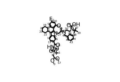 COC(CN(C)S(=O)(=O)NC(=O)c1ccc2c(C3CCCCC3)c3n(c2c1)C[C@@H](N(CCN(C(=O)O)C(C)(C)C)Cc1ccccc1)COc1cc(F)ccc1-3)OC